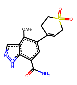 COc1c(C2=CCS(=O)(=O)CC2)cc(C(N)=O)c2[nH]ncc12